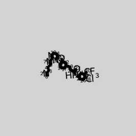 CN(C)CCCN(C)c1nccc(Oc2cccc(C=CC(=O)Nc3ccc(Cl)c(C(F)(F)F)c3)c2)n1